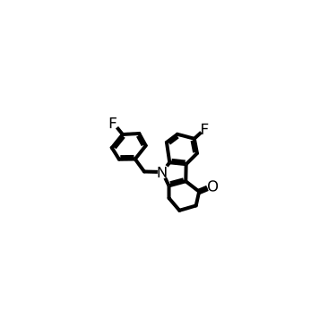 O=C1CCCc2c1c1cc(F)ccc1n2Cc1ccc(F)cc1